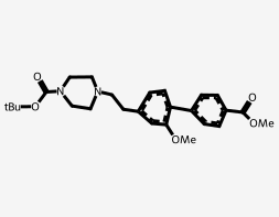 COC(=O)c1ccc(-c2ccc(CCN3CCN(C(=O)OC(C)(C)C)CC3)cc2OC)cc1